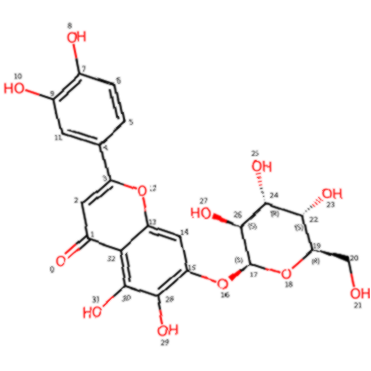 O=c1cc(-c2ccc(O)c(O)c2)oc2cc(O[C@@H]3O[C@H](CO)[C@@H](O)[C@@H](O)[C@@H]3O)c(O)c(O)c12